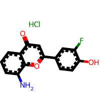 Cl.Nc1cccc2c(=O)cc(-c3ccc(O)c(F)c3)oc12